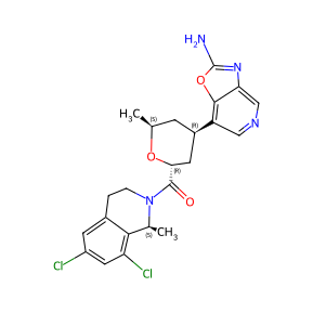 C[C@H]1C[C@@H](c2cncc3nc(N)oc23)C[C@H](C(=O)N2CCc3cc(Cl)cc(Cl)c3[C@@H]2C)O1